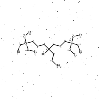 CCO[Si](CCCC(O)(CCN)CCC[Si](OCC)(OCC)OCC)(OCC)OCC